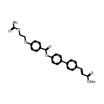 CCC(C)C(=O)OCCOc1ccc(C(=O)Oc2ccc(-c3ccc(/C=C/C(=O)OC)cc3)cc2)cc1